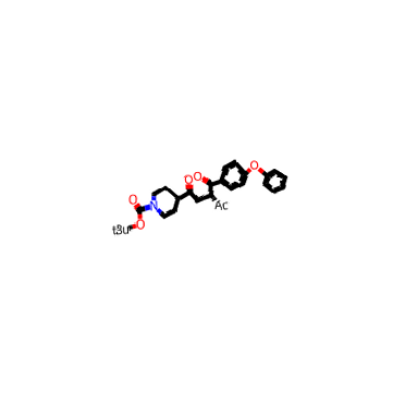 CC(=O)C(CC(=O)C1CCN(C(=O)OC(C)(C)C)CC1)C(=O)c1ccc(Oc2ccccc2)cc1